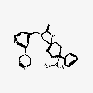 CN(C)[C@]1(c2ccccc2)CC[C@@]2(CC1)CN(Cc1ccnc(N3CCOCC3)c1)C(=O)N2